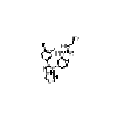 Cc1cc(-c2nc3cccnn3c2-c2ccnc(NC(=O)NCC(C)C)c2)ccc1F